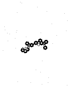 c1ccc(-n2c3ccccc3c3c4cccc5c4c(cc32)Oc2cc(-c3ccc4c(c3)c3ccccc3n4-c3ccc4ccc6cccnc6c4n3)ccc2-5)cc1